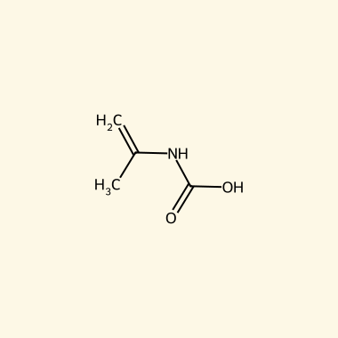 C=C(C)NC(=O)O